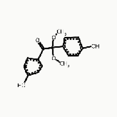 COC(OC)(C(=O)c1ccc(O)cc1)c1ccc(O)cc1